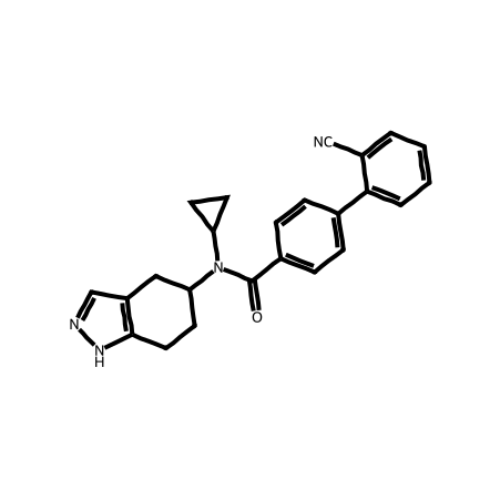 N#Cc1ccccc1-c1ccc(C(=O)N(C2CC2)C2CCc3[nH]ncc3C2)cc1